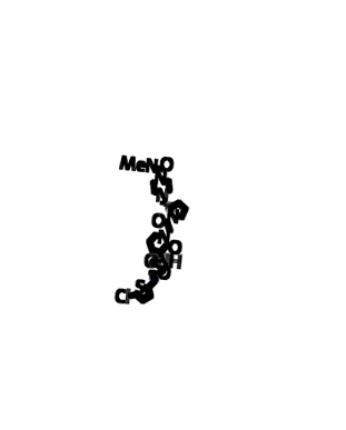 CNC(=O)N1CCN(C[C@@H]2CCCN2C(=O)CN2CCC[C@H](NS(=O)(=O)/C=C/c3ccc(Cl)s3)C2=O)CC1